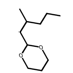 CCCC(C)[CH]C1OCCCO1